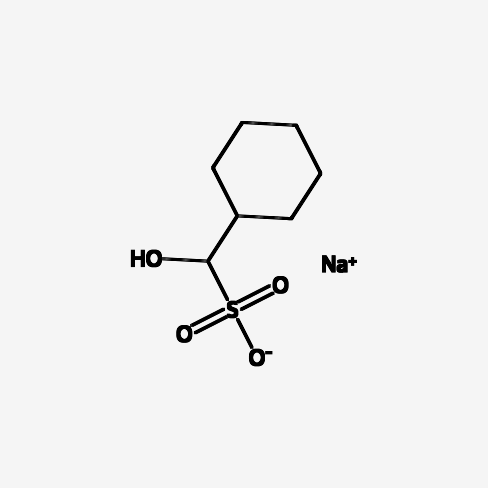 O=S(=O)([O-])C(O)C1CCCCC1.[Na+]